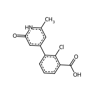 Cc1cc(-c2cccc(C(=O)O)c2Cl)cc(=O)[nH]1